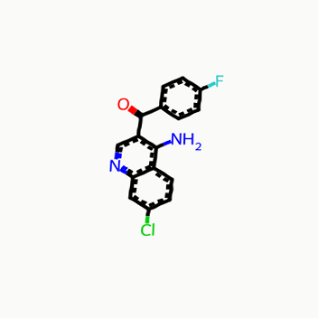 Nc1c(C(=O)c2ccc(F)cc2)cnc2cc(Cl)ccc12